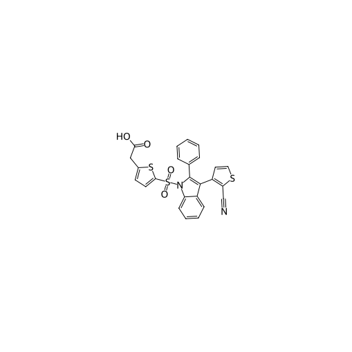 N#Cc1sccc1-c1c(-c2ccccc2)n(S(=O)(=O)c2ccc(CC(=O)O)s2)c2ccccc12